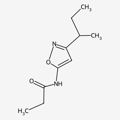 CCC(=O)Nc1cc(C(C)CC)no1